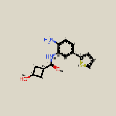 Nc1ccc(-c2cccs2)cc1NC(=O)C1CC(O)C1